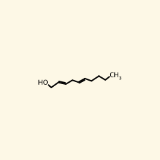 CCCCC=CCC=CCO